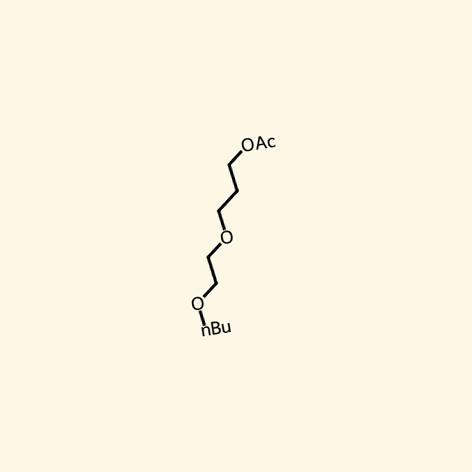 CCCCOCCOCCCOC(C)=O